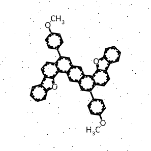 COc1ccc(-c2cc3cc4c(cc(-c5ccc(OC)cc5)c5ccc6c7ccccc7oc6c54)cc3c3c2ccc2c4ccccc4oc23)cc1